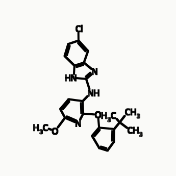 COc1ccc(Nc2nc3cc(Cl)ccc3[nH]2)c(Oc2ccccc2C(C)(C)C)n1